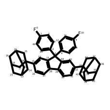 Fc1ccc(C2(c3ccc(F)cc3)c3cc(C45CC6CC(CC(C6)C4)C5)ccc3-c3ccc(C45CC6CC(CC(C6)C4)C5)cc32)cc1